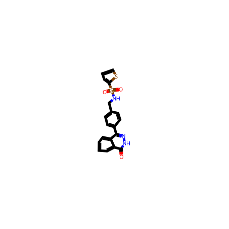 O=c1[nH]nc(-c2ccc(CNS(=O)(=O)c3cccs3)cc2)c2ccccc12